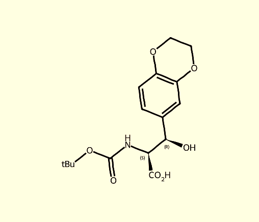 CC(C)(C)OC(=O)N[C@H](C(=O)O)[C@H](O)c1ccc2c(c1)OCCO2